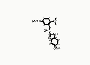 COc1ccc(N(C)C)c(C[S+]([O-])c2nc3cc(OC)ccc3[nH]2)c1